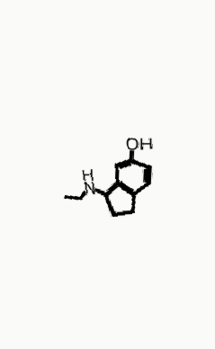 CCNC1CCc2ccc(O)cc21